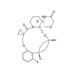 O=C1COC[C@]2(CCCN3C(=O)C4(CC4)COc4cccc(F)c4[C@H]4CC[C@H](CC4)OC[C@@H]32)N1